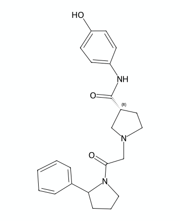 O=C(Nc1ccc(O)cc1)[C@@H]1CCN(CC(=O)N2CCCC2c2ccccc2)C1